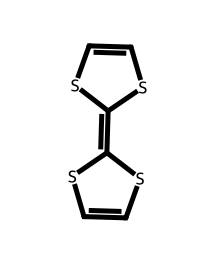 C1=CSC(=C2SC=CS2)S1